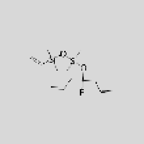 C=CCC(F)(CC=C)O[Si](C)(C)O[Si](C)(C)C=C